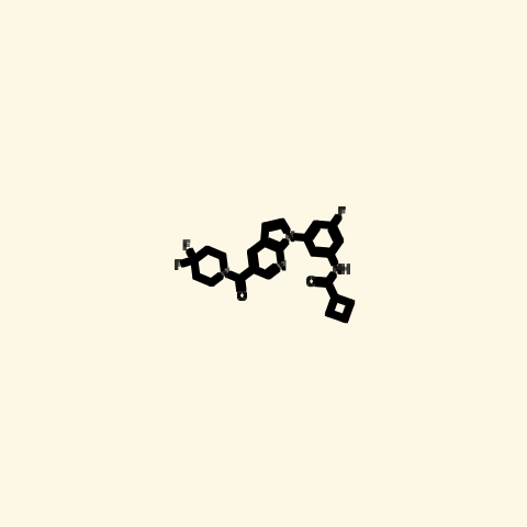 O=C(Nc1cc(F)cc(-n2ccc3cc(C(=O)N4CCC(F)(F)CC4)cnc32)c1)C1CCC1